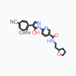 COC1=C(c2cnn(-c3ccc(C(=O)NCCC4CCCO4)cn3)c2O)C=CC(C#N)=CC1